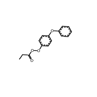 CCC(=O)OOc1ccc(Oc2ccccc2)cc1